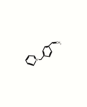 C=Cc1ccc(C[n+]2ccccc2)cc1